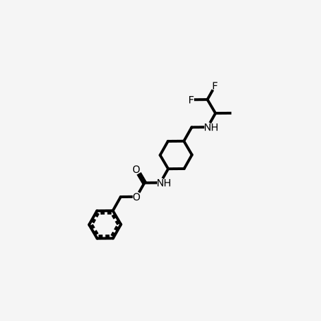 CC(NCC1CCC(NC(=O)OCc2ccccc2)CC1)C(F)F